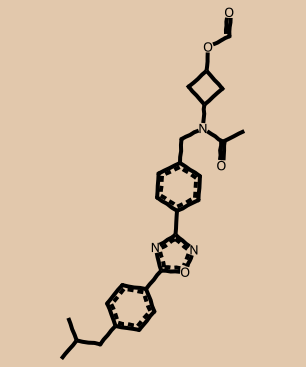 CC(=O)N(Cc1ccc(-c2noc(-c3ccc(CC(C)C)cc3)n2)cc1)C1CC(OC=O)C1